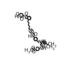 CC(C)c1cnn2c(NCc3ccc(NC(=O)N4CCN(CCCCCc5cccc6c5CN(C5CCC(=O)NC5=O)C6=O)CC4)cc3)cc(NC3CCN(S(C)(=O)=O)CC3)nc12